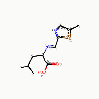 Cc1cnc(/C=N/C(CC(C)C)C(=O)O)s1